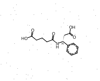 O=C(O)CCCC(=O)N[C@H](CC(=O)O)c1ccccc1